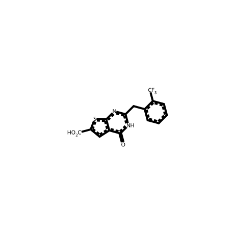 O=C(O)c1cc2c(=O)[nH]c(Cc3ccccc3C(F)(F)F)nc2s1